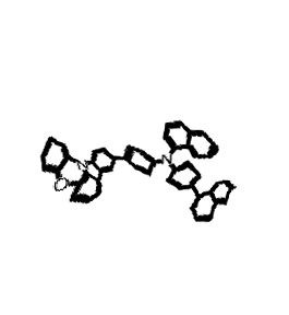 c1ccc2c(c1)Oc1cccc3c4cc(-c5ccc(N(c6ccc(-c7cccc8ccccc78)cc6)c6cccc7ccccc67)cc5)ccc4n-2c13